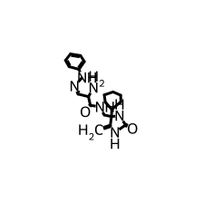 C=C1NC(=O)NC1(CNC(=O)C(N)/C=N\Nc1ccccc1)C1CCCCC1